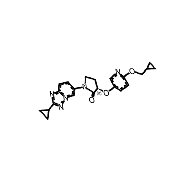 O=C1[C@H](Oc2ccc(OCC3CC3)nc2)CCN1c1ccc2nc(C3CC3)nn2c1